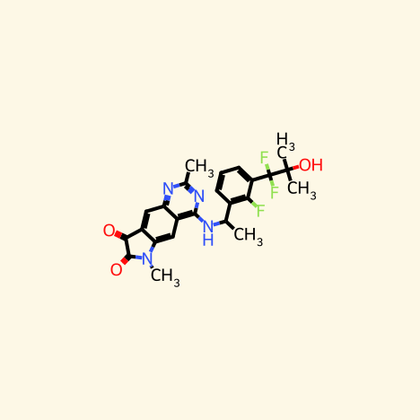 Cc1nc(NC(C)c2cccc(C(F)(F)C(C)(C)O)c2F)c2cc3c(cc2n1)C(=O)C(=O)N3C